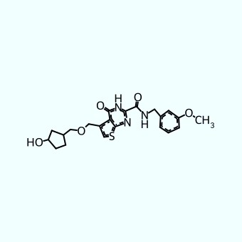 COc1cccc(CNC(=O)c2nc3scc(COCC4CCC(O)C4)c3c(=O)[nH]2)c1